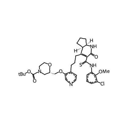 COc1c(Cl)cccc1NC(=S)C1=C(CCCc2ccncc2OC[C@@H]2CN(C(=O)OC(C)(C)C)CCO2)[C@H]2CCC[C@H]2NC1=O